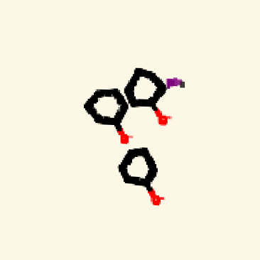 [O-]c1ccccc1.[O-]c1ccccc1.[O-]c1ccccc1.[P+3]